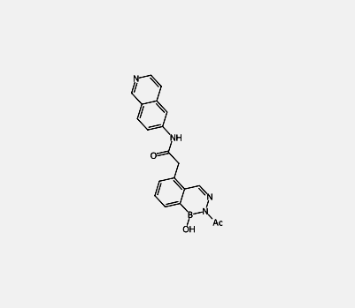 CC(=O)N1N=Cc2c(CC(=O)Nc3ccc4cnccc4c3)cccc2B1O